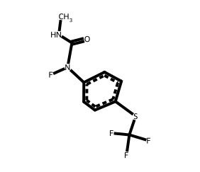 CNC(=O)N(F)c1ccc(SC(F)(F)F)cc1